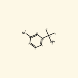 CCCC(C)(C)c1cccc(C#N)c1